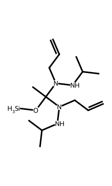 C=CCN(NC(C)C)C(C)(O[SiH3])N(CC=C)NC(C)C